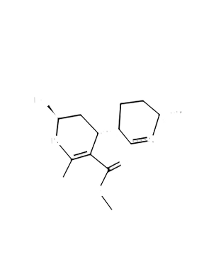 COC(=O)C1=C(C)N[C@@H](O)CC1[C@H]1C=N[C@@H](Cl)CC1